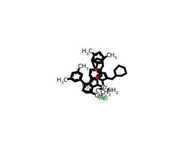 Cc1cc(C)cc(-c2ccc(C)c3c2C=C(CC2CCCCC2)[CH]3[Zr]([CH3])([CH3])(=[SiH2])[CH]2C(CC3CCCCC3)=Cc3c(-c4cc(C)cc(C)c4)ccc(C)c32)c1.Cl.Cl